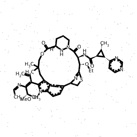 C=C/C(=C(\N=C/C)[C@H](C)OC)c1c2c3cc(ccc3n1CC)C1CSC(=N1)[C@@H](OCC)[C@H](NC(=O)[C@H]1[C@H](C)[C@@H]1c1ccncn1)C(=O)N1CCC[C@H](N1)C(=O)OCC(C)(C)C2